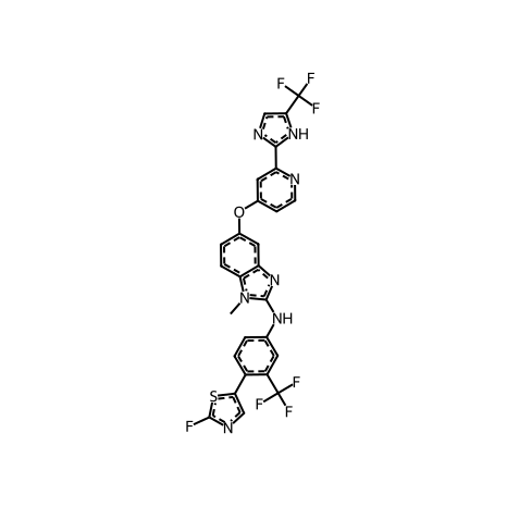 Cn1c(Nc2ccc(-c3cnc(F)s3)c(C(F)(F)F)c2)nc2cc(Oc3ccnc(-c4ncc(C(F)(F)F)[nH]4)c3)ccc21